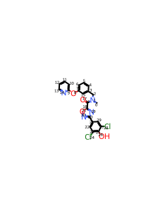 CN(Cc1cccc(Oc2ccccn2)c1)C(=O)c1nc(-c2cc(Cl)c(O)c(Cl)c2)no1